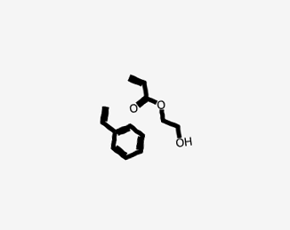 C=CC(=O)OCCO.C=Cc1ccccc1